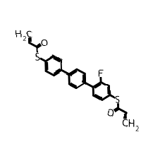 C=CC(=O)Sc1ccc(-c2ccc(-c3ccc(SC(=O)C=C)cc3F)cc2)cc1